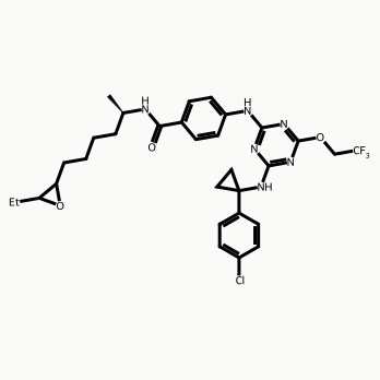 CCC1OC1CCCC[C@@H](C)NC(=O)c1ccc(Nc2nc(NC3(c4ccc(Cl)cc4)CC3)nc(OCC(F)(F)F)n2)cc1